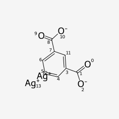 O=C([O-])c1cccc(C(=O)[O-])c1.[Ag+].[Ag+]